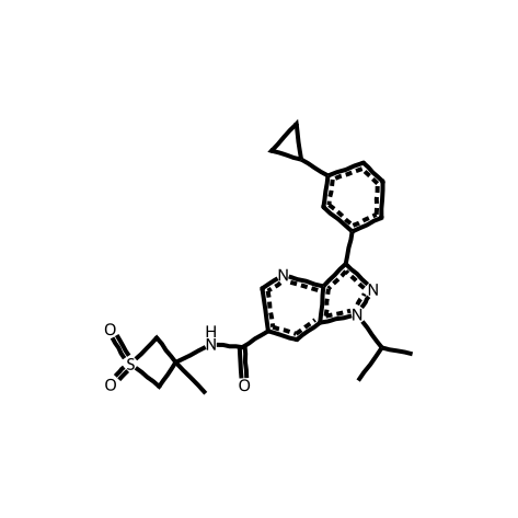 CC(C)n1nc(-c2cccc(C3CC3)c2)c2ncc(C(=O)NC3(C)CS(=O)(=O)C3)cc21